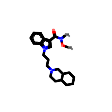 CON(C)C(=O)c1cn(CCCN2CCC3CCCCC3C2)c2ccccc12